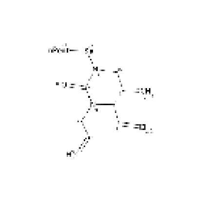 C=CCN(CC=C)C(=O)N(CC=C)[Se]CCCCC